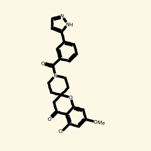 COc1cc(Cl)c2c(c1)OC1(CCN(C(=O)c3cccc(-c4ccn[nH]4)c3)CC1)CC2=O